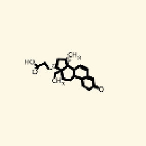 CCC12CCC3C4CCC(=O)C=C4C=CC3C1[C@@H](C)C[C@H]2CCC(=O)O